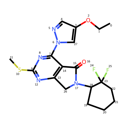 CCOc1cnn(-c2nc(SC)nc3c2C(=O)N(C2CCCCC2(F)F)C3)c1